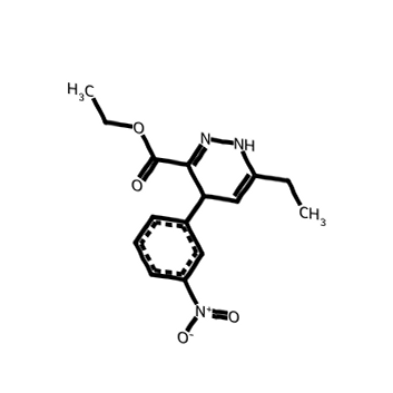 CCOC(=O)C1=NNC(CC)=CC1c1cccc([N+](=O)[O-])c1